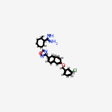 CC1CCC[C@@H](c2nc(-c3ccc4cc(OCc5cccc(Cl)c5)ccc4c3)no2)CC1C(=N)N